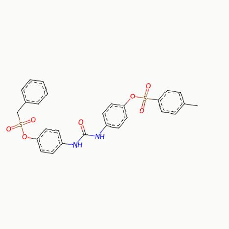 Cc1ccc(S(=O)(=O)Oc2ccc(NC(=O)Nc3ccc(OS(=O)(=O)Cc4ccccc4)cc3)cc2)cc1